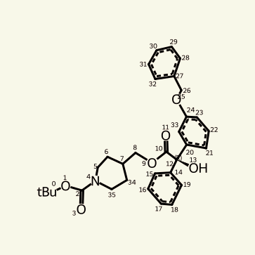 CC(C)(C)OC(=O)N1CCC(COC(=O)[C@@](O)(c2ccccc2)c2cccc(OCc3ccccc3)c2)CC1